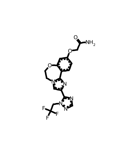 NC(=O)COc1ccc2c(c1)OCCn1cc(-c3ncnn3CC(F)(F)F)nc1-2